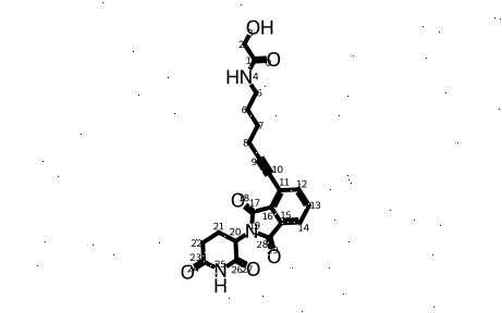 O=C(CO)NCCCCC#Cc1cccc2c1C(=O)N(C1CCC(=O)NC1=O)C2=O